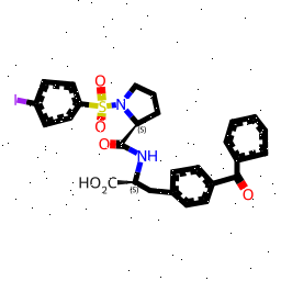 O=C(c1ccccc1)c1ccc(C[C@H](NC(=O)[C@@H]2CCCN2S(=O)(=O)c2ccc(I)cc2)C(=O)O)cc1